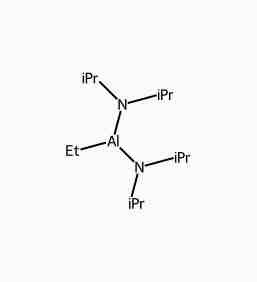 C[CH2][Al]([N](C(C)C)C(C)C)[N](C(C)C)C(C)C